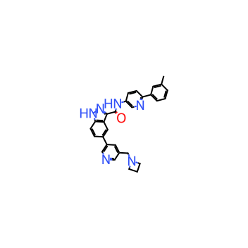 Cc1cccc(-c2ccc(NC(=O)c3n[nH]c4ccc(-c5cncc(CN6CCC6)c5)cc34)cn2)c1